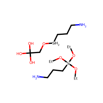 CCO[Si](CCCN)(OCC)OCC.NCCC[SiH2]OCC(O)(O)O